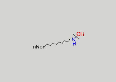 CCCCCCCCCCCCCCCCCCNC(C)(C)O